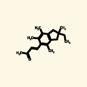 CCC1(C)Cc2c(C)c(C)c(C=CC(C)=O)c(C)c2C1